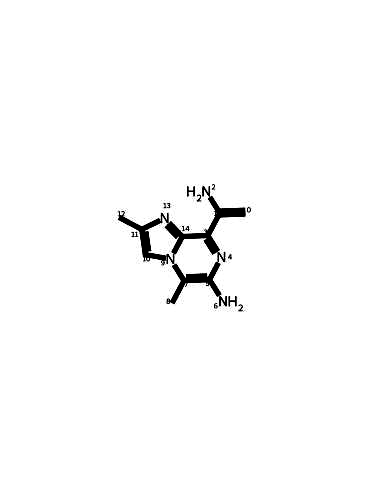 C=C(N)c1nc(N)c(C)n2cc(C)nc12